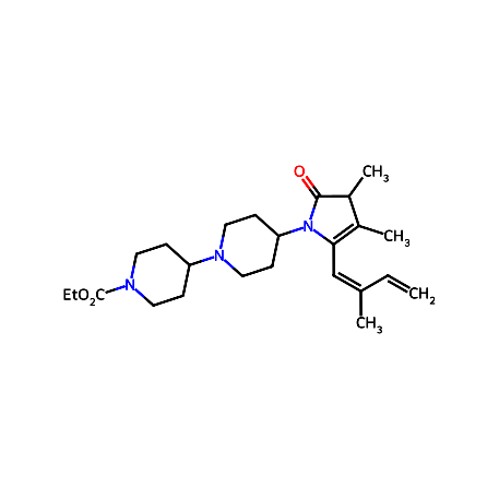 C=C/C(C)=C\C1=C(C)C(C)C(=O)N1C1CCN(C2CCN(C(=O)OCC)CC2)CC1